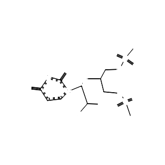 CC(F)[C@@H](OC(COS(C)(=O)=O)COS(C)(=O)=O)n1ccc(=O)[nH]c1=O